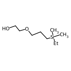 CC[Si](C)(C)CCCOCCO